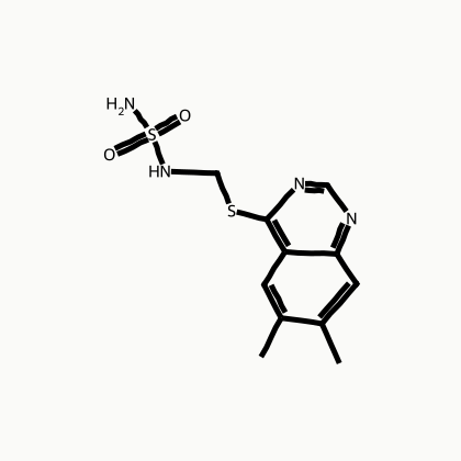 Cc1cc2ncnc(SCNS(N)(=O)=O)c2cc1C